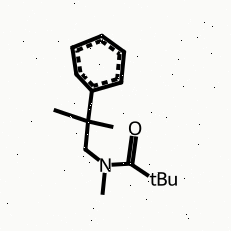 CN(CC(C)(C)c1ccccc1)C(=O)C(C)(C)C